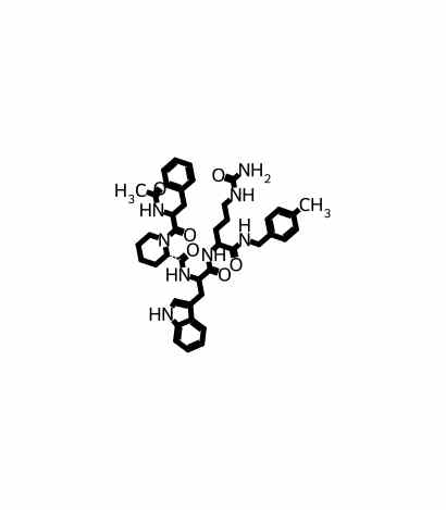 CC(=O)NC(Cc1ccccc1)C(=O)N1CCCC[C@H]1C(=O)NC(Cc1c[nH]c2ccccc12)C(=O)NC(CCCNC(N)=O)C(=O)NCc1ccc(C)cc1